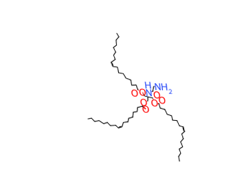 CCCCCCCC/C=C\CCCCCCCC(=O)OCC(COC(=O)CCCCCCC/C=C\CCCCCCCC)(COC(=O)CCCCCCC/C=C\CCCCCCCC)NC(=O)CN